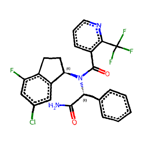 NC(=O)[C@@H](c1ccccc1)N(C(=O)c1cccnc1C(F)(F)F)[C@@H]1CCc2c(F)cc(Cl)cc21